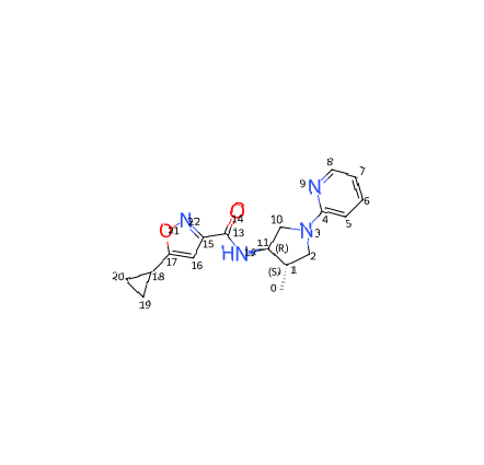 C[C@H]1CN(c2ccccn2)C[C@@H]1NC(=O)c1cc(C2CC2)on1